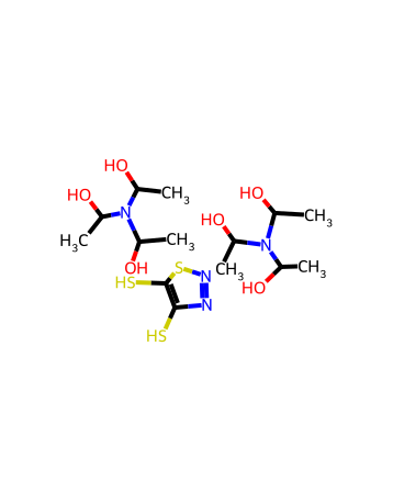 CC(O)N(C(C)O)C(C)O.CC(O)N(C(C)O)C(C)O.Sc1nnsc1S